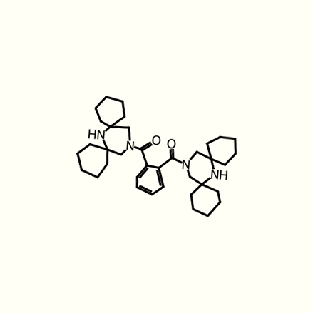 O=C(c1ccccc1C(=O)N1CC2(CCCCC2)NC2(CCCCC2)C1)N1CC2(CCCCC2)NC2(CCCCC2)C1